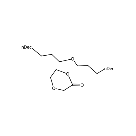 CCCCCCCCCCCCCOCCCCCCCCCCCCC.O=C1COCCO1